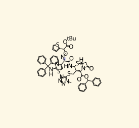 Cn1nnnc1SCC1=C(C(=O)OC(c2ccccc2)c2ccccc2)N2C(=O)C[C@H]2SC1NC(=O)/C(=N\OC(C(=O)OC(C)(C)C)c1cccs1)c1csc(NC(c2ccccc2)(c2ccccc2)c2ccccc2)n1